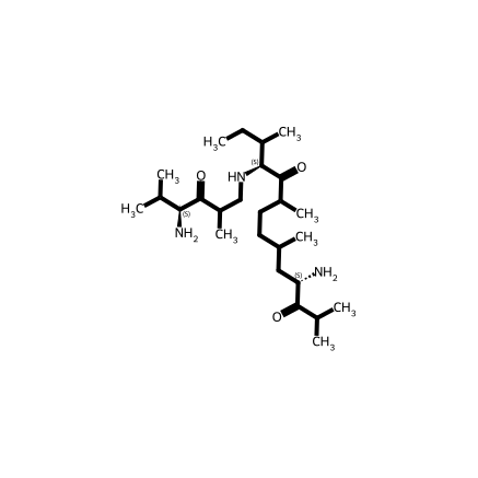 CCC(C)[C@H](NCC(C)C(=O)[C@@H](N)C(C)C)C(=O)C(C)CCC(C)C[C@H](N)C(=O)C(C)C